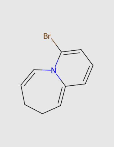 BrC1=CC=CC2=CCCC=CN12